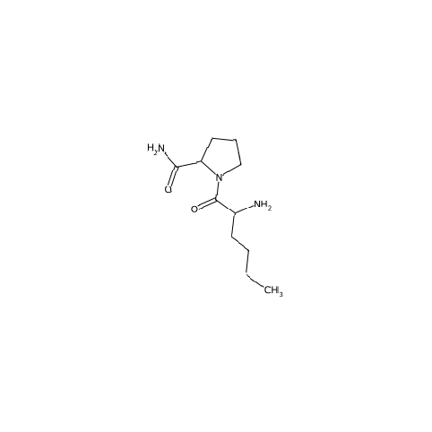 CCCCC(N)C(=O)N1CCCC1C(N)=O